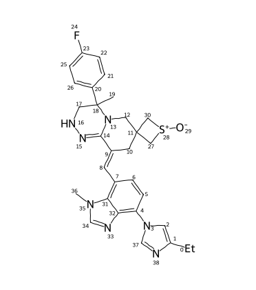 CCc1cn(-c2ccc(/C=C3\CC4(CN5C3=NNCC5(C)c3ccc(F)cc3)C[S+]([O-])C4)c3c2ncn3C)cn1